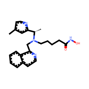 Cc1ccnc([C@H](C)N(CCCCC(=O)NO)Cc2nccc3ccccc23)c1